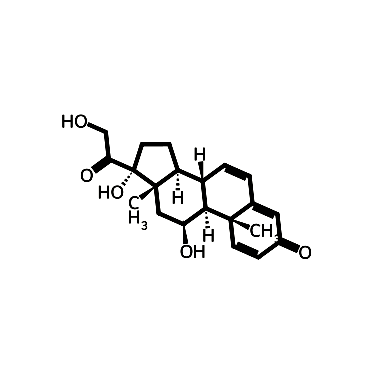 C[C@]12C=CC(=O)C=C1C=C[C@@H]1[C@@H]2[C@@H](O)C[C@@]2(C)[C@H]1CC[C@]2(O)C(=O)CO